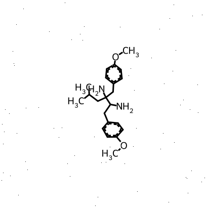 COc1ccc(CC(N)C(N)(Cc2ccc(OC)cc2)CC(C)C)cc1